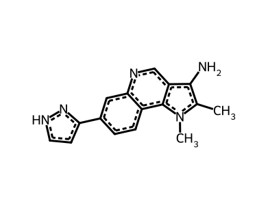 Cc1c(N)c2cnc3cc(-c4cc[nH]n4)ccc3c2n1C